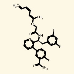 C=C/C=C\C=C(/C)OCC(=O)N[C@@H](Cc1cc(F)cc(F)c1)c1ncccc1-c1ccc(F)c(C(N)=O)c1